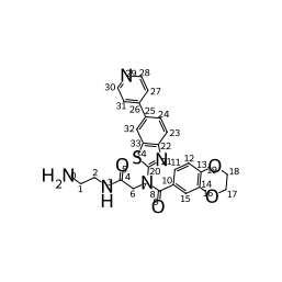 NCCNC(=O)CN(C(=O)c1ccc2c(c1)OCCO2)c1nc2ccc(-c3ccncc3)cc2s1